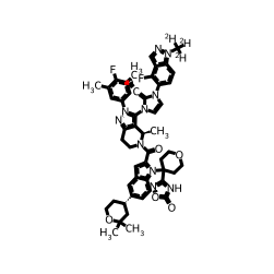 [2H]C([2H])([2H])n1ncc2c(F)c(N3C=CN(c4c5c(nn4-c4cc(C)c(F)c(C)c4)CCN(C(=O)c4cc6cc([C@H]7CCOC(C)(C)C7)ccc6n4C4(c6noc(=O)[nH]6)CCOCC4)[C@@H]5C)C3=C=O)ccc21